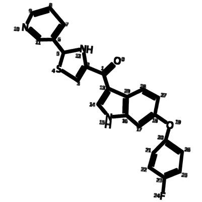 O=C(C1=CSC(c2cccnc2)N1)c1c[nH]c2cc(Oc3ccc(F)cc3)ccc12